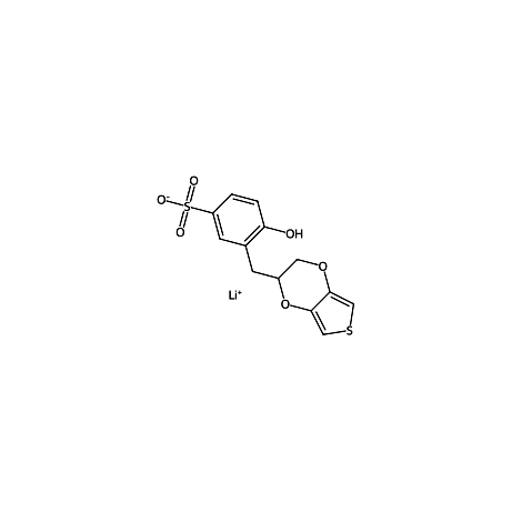 O=S(=O)([O-])c1ccc(O)c(CC2COc3cscc3O2)c1.[Li+]